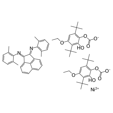 CCOc1cc(C(C)(C)C)c(OC(=O)[O-])c(O)c1C(C)(C)C.CCOc1cc(C(C)(C)C)c(OC(=O)[O-])c(O)c1C(C)(C)C.Cc1cccc(C)c1N=C1C(=Nc2c(C)cccc2C)c2cccc3cccc1c23.[Ni+2]